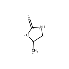 C[C]1CNC(=O)O1